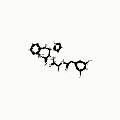 C[C@H](NC(=O)Cc1cc(F)cc(F)c1)C(=O)N[C@@H]1C(=O)Nc2ccccc2S[C@@H]1c1ccco1